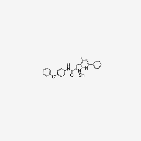 Cc1nc(-c2ccccc2)nc2c1cc(C(=O)Nc1ccc(Oc3ccccc3)cc1)n2S